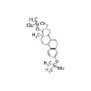 CC12CCC3c4ccc(O[Si](C)(C)C(C)(C)C)cc4CCC3C1CCC2O[Si](C)(C)C(C)(C)C